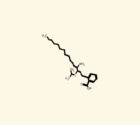 CCCCCCCCCCCCC(N)C(CCc1ccccc1C(=O)O)OC(C)C